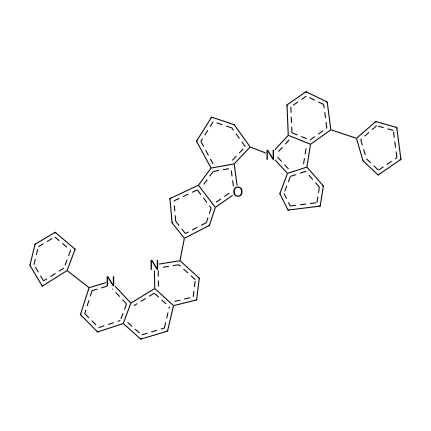 c1ccc(-c2ccc3ccc4ccc(-c5ccc6c(c5)oc5c(-n7c8ccccc8c8c(-c9ccccc9)cccc87)cccc56)nc4c3n2)cc1